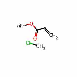 C=CC(=O)OCCC.CCl